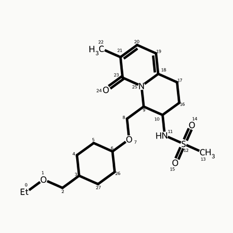 CCOCC1CCC(OCC2C(NS(C)(=O)=O)CCc3ccc(C)c(=O)n32)CC1